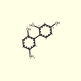 Nc1ccc(O)c(-c2ccc(O)cc2O)c1